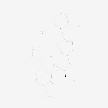 COc1cccc(OC)c1-c1cnc(C[C@H](Nc2nc(N(C)C)ncc2-c2c(C)nsc2C)C(=O)O)nc1